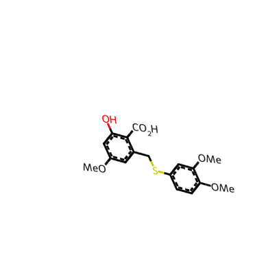 COc1cc(O)c(C(=O)O)c(CSc2ccc(OC)c(OC)c2)c1